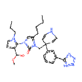 CCCCc1cn(-c2c(C(=O)OC)ccn2CCC)c(=O)n1CC1(c2cccc(-c3nnn[nH]3)c2)C=CNC=C1